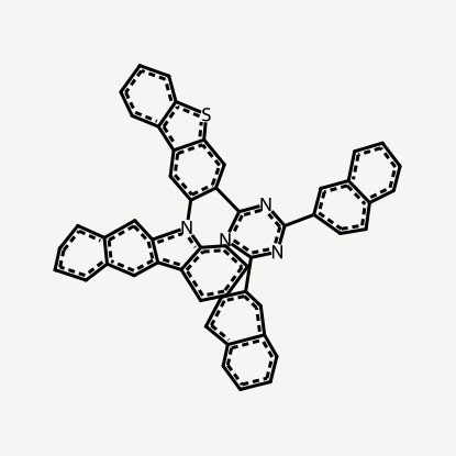 c1ccc2cc(-c3nc(-c4ccc5ccccc5c4)nc(-c4cc5sc6ccccc6c5cc4-n4c5ccccc5c5cc6ccccc6cc54)n3)ccc2c1